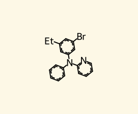 CCc1cc(Br)cc(N(c2ccccc2)c2ccccn2)c1